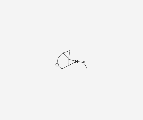 CSN1C2COCC3CC321